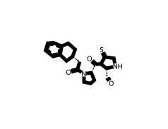 O=C[C@H]1NCC(=S)C1C(=O)[C@@H]1CCCN1C(=O)C[C@H]1CCc2ccccc2C1